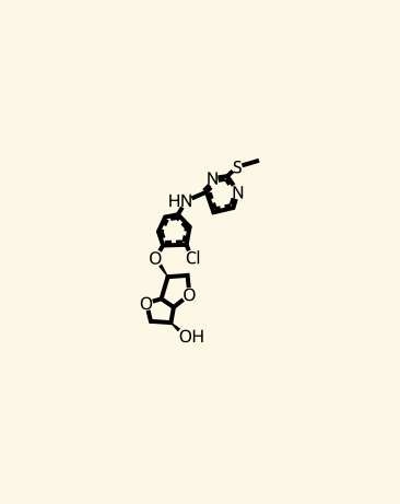 CSc1nccc(Nc2ccc(O[C@H]3COC4C3OC[C@@H]4O)c(Cl)c2)n1